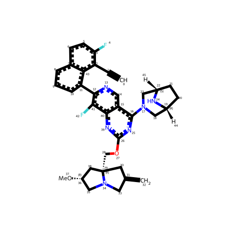 C#Cc1c(F)ccc2cccc(-c3ncc4c(N5C[C@H]6CC[C@@H](C5)N6)nc(OC[C@]56CC(=C)CN5C[C@H](OC)C6)nc4c3F)c12